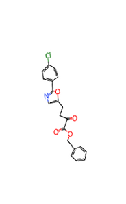 O=C(CCc1cnc(-c2ccc(Cl)cc2)o1)C(=O)OCc1ccccc1